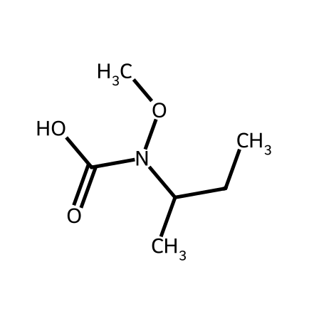 CCC(C)N(OC)C(=O)O